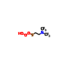 OOOSCCN(C(F)(F)F)C(F)(F)F